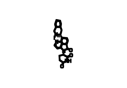 O=C1CCC(N2C(=O)c3ccc([C@H]4Cc5ccccc5CN4I)c4nccc2c34)C(=O)N1